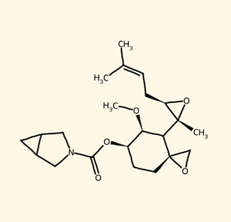 CO[C@H]1C([C@@]2(C)O[C@@H]2CC=C(C)C)[C@]2(CC[C@H]1OC(=O)N1CC3CC3C1)CO2